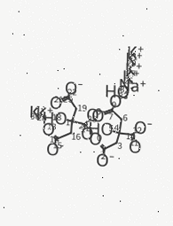 O=C([O-])CC(O)(CC(=O)[O-])C(=O)[O-].O=C([O-])CC(O)(CC(=O)[O-])C(=O)[O-].[K+].[K+].[K+].[K+].[K+].[K+].[Na+].[OH-]